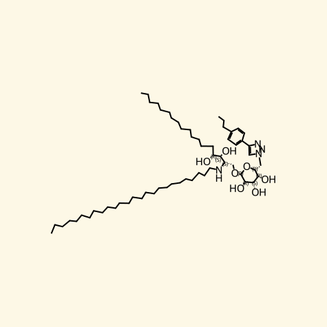 CCCCCCCCCCCCCCCCCCCCCCCCCCN[C@@H](CO[C@@H]1O[C@H](Cn2cc(-c3ccc(CCC)cc3)nn2)[C@H](O)[C@H](O)[C@H]1O)[C@H](O)[C@H](O)CCCCCCCCCCCCCC